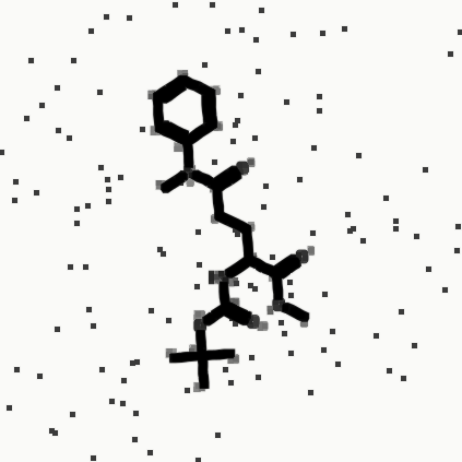 COC(=O)C(CCC(=O)N(C)c1ccccc1)NC(=O)OC(C)(C)C